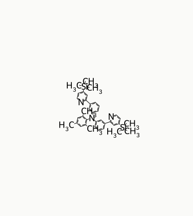 Cc1cc(C)c(N(c2cccc(-c3cc([Si](C)(C)C)ccn3)c2)c2cccc(-c3cc([Si](C)(C)C)ccn3)c2)c(C)c1